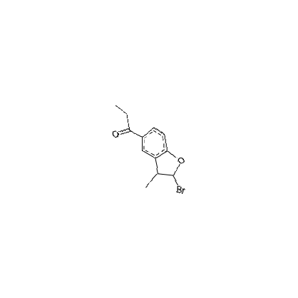 CCC(=O)c1ccc2c(c1)C(C)C(Br)O2